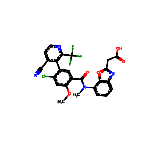 COc1cc(Cl)c(-c2c(C#N)ccnc2C(F)(F)F)cc1C(=O)N(C)c1cccc2nc(CC(=O)O)oc12